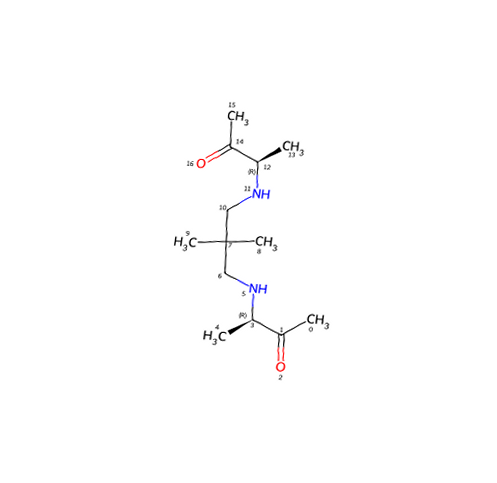 CC(=O)[C@@H](C)NCC(C)(C)CN[C@H](C)C(C)=O